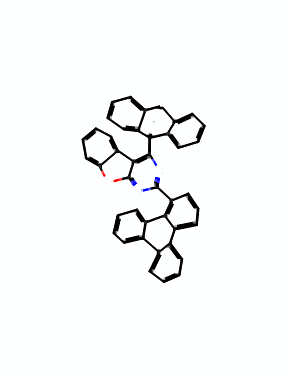 c1ccc2c(c1)C1CCC2(c2nc(-c3cccc4c5ccccc5c5ccccc5c34)nc3oc4ccccc4c23)c2ccccc21